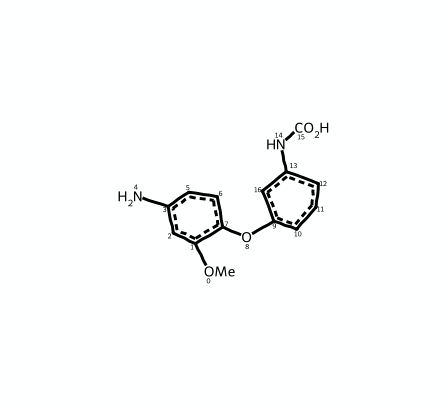 COc1cc(N)ccc1Oc1cccc(NC(=O)O)c1